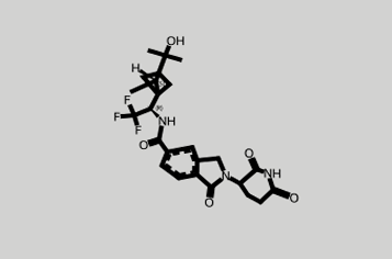 C[C@H]1C2([C@@H](NC(=O)c3ccc4c(c3)CN(C3CCC(=O)NC3=O)C4=O)C(F)(F)F)CC1(C(C)(C)O)C2